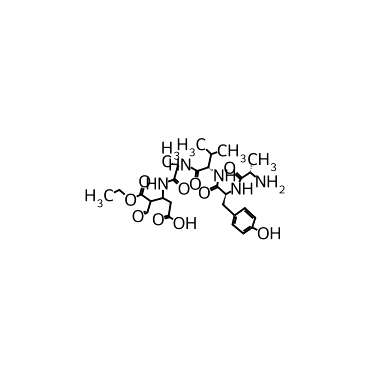 CCOC(=O)C(C=O)C(CC(=O)O)NC(=O)[C@H](C)NC(=O)[C@@H](NC(=O)[C@H](Cc1ccc(O)cc1)NC(=O)[C@H](C)N)C(C)C